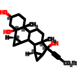 CCOC(=O)C#C[C@]1(O)C2C[C@H]2C2C3C4C[C@H]4[C@]4(O)C[C@@H](O)CC[C@]4(C)C3CC[C@@]21C